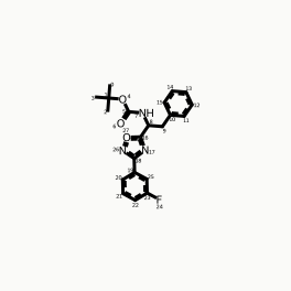 CC(C)(C)OC(=O)NC(Cc1ccccc1)c1nc(-c2cccc(F)c2)no1